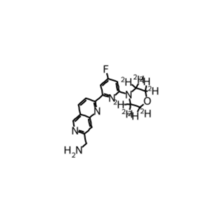 [2H]C1([2H])OC([2H])([2H])C([2H])([2H])N(c2cc(F)cc(-c3ccc4cnc(CN)cc4n3)n2)C1([2H])[2H]